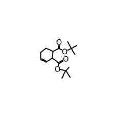 CC(C)(C)OC(=O)C1C=CCCC1C(=O)OC(C)(C)C